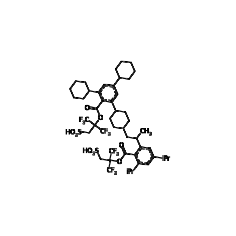 CC(C)c1cc(C(C)C)c(C(=O)OC(CS(=O)(=O)O)(C(F)(F)F)C(F)(F)F)c(C(C)CC2CCC(c3cc(C4CCCCC4)cc(C4CCCCC4)c3C(=O)OC(CS(=O)(=O)O)(C(F)(F)F)C(F)(F)F)CC2)c1